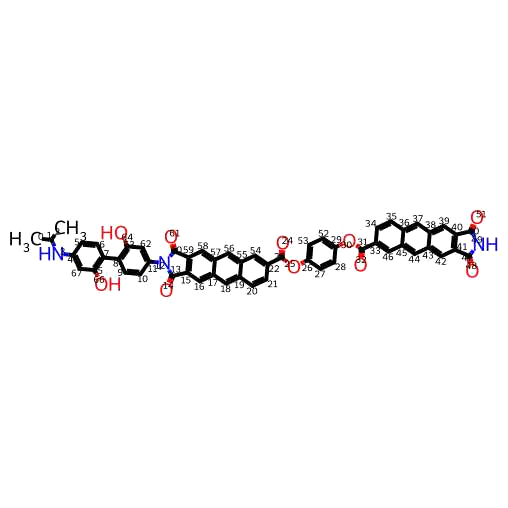 CC(C)Nc1ccc(-c2ccc(N3C(=O)c4cc5cc6ccc(C(=O)Oc7ccc(OC(=O)c8ccc9cc%10cc%11c(cc%10cc9c8)C(=O)NC%11=O)cc7)cc6cc5cc4C3=O)cc2O)c(O)c1